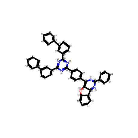 c1ccc(-c2cccc(-c3nc(-c4ccc(-c5nc(-c6ccccc6)nc6c5oc5ccccc56)cc4)nc(-c4cccc(-c5ccccc5)c4)n3)c2)cc1